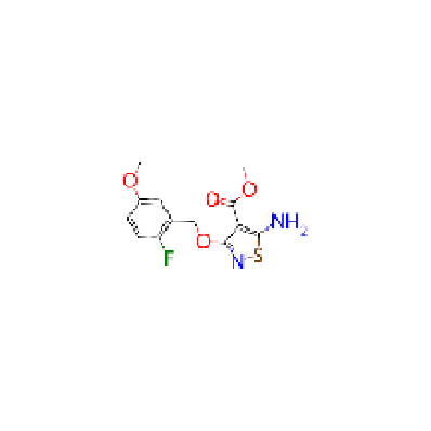 COC(=O)c1c(OCc2cc(OC)ccc2F)nsc1N